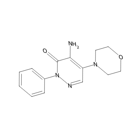 Nc1c(N2CCOCC2)cnn(-c2ccccc2)c1=O